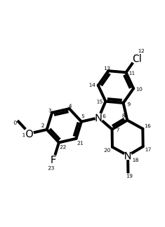 COc1ccc(-n2c3c(c4cc(Cl)ccc42)CCN(C)C3)cc1F